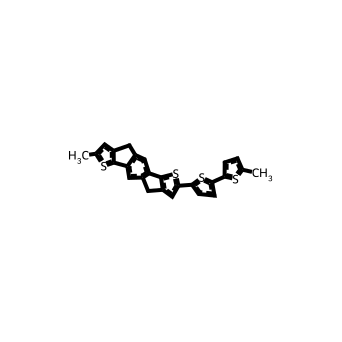 Cc1ccc(-c2ccc(-c3cc4c(s3)-c3cc5c(cc3C4)-c3sc(C)cc3C5)s2)s1